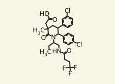 CCC(CNC(=O)CCC(F)(F)F)N1C(=O)C(C)(CC(=O)O)CC(c2cccc(Cl)c2)C1c1ccc(Cl)cc1